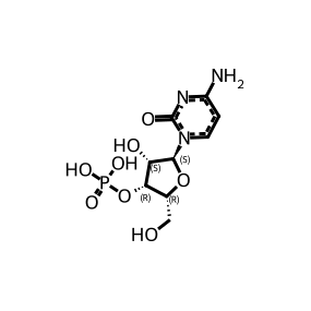 Nc1ccn([C@H]2O[C@H](CO)[C@H](OP(=O)(O)O)[C@@H]2O)c(=O)n1